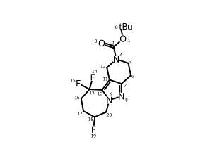 CC(C)(C)OC(=O)N1CCc2nn3c(c2C1)C(F)(F)CC[C@H](F)C3